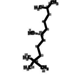 CC(C)CCC[C@@H](O)CCCC(C)(C)C